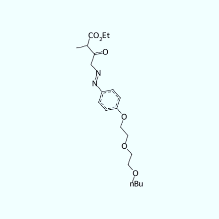 CCCCOCCOCCOc1ccc(N=NCC(=O)C(C)C(=O)OCC)cc1